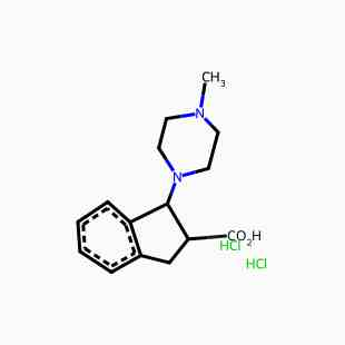 CN1CCN(C2c3ccccc3CC2C(=O)O)CC1.Cl.Cl